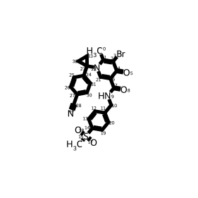 Cc1c(Br)c(=O)c(C(=O)NCc2ccc(S(C)(=O)=O)cc2)cn1C1(c2ccc(C#N)cc2)CC1